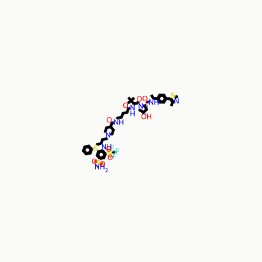 Cc1ncsc1-c1ccc(C(C)NC(=O)[C@@H]2C[C@@H](O)CN2C(=O)C(NC(=O)CCCCNC(=O)C2CCN(CCC(CSc3ccccc3)Nc3ccc(S(N)(=O)=O)cc3S(=O)(=O)C(F)(F)F)CC2)C(C)(C)C)cc1